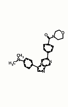 CN(C)c1ccc(-c2cnc3cnc(-c4ccc(C(=O)N5CCOCC5)cc4)cn23)cc1